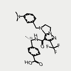 C[C@H](NC(=O)c1c(C(F)(F)F)nn2c1N(Cc1cccc(N(C)C)c1)CC2)c1ccc(C(=O)O)cc1